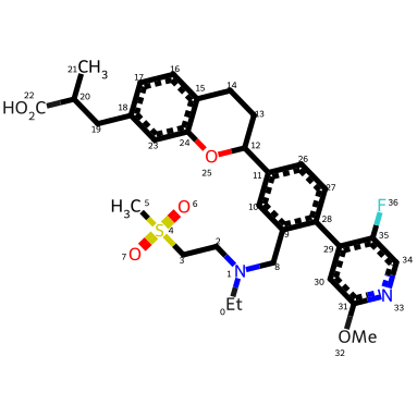 CCN(CCS(C)(=O)=O)Cc1cc(C2CCc3ccc(CC(C)C(=O)O)cc3O2)ccc1-c1cc(OC)ncc1F